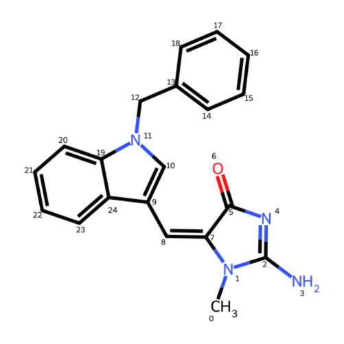 CN1C(N)=NC(=O)/C1=C\c1cn(Cc2ccccc2)c2ccccc12